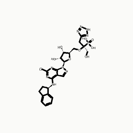 O=P(O)(O)[C@](CO)(Cc1nn[nH]n1)OC[C@H]1O[C@@H](n2ncc3c(N[C@@H]4CCc5ccccc54)nc(Cl)nc32)[C@H](O)[C@@H]1O